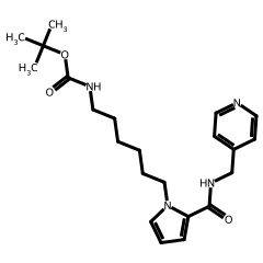 CC(C)(C)OC(=O)NCCCCCCn1cccc1C(=O)NCc1ccncc1